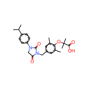 Cc1cc(CN2C(=O)CN(c3ccc(C(C)C)cc3)C2=O)cc(C)c1OC(C)(C)C(=O)O